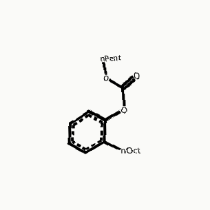 CCCCCCCCc1ccccc1OC(=O)OCCCCC